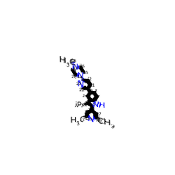 Cc1cc(-c2[nH]c3ccc(-c4ccc(N5CCN(C)CC5)nc4)cc3c2C(C)C)cc(C)n1